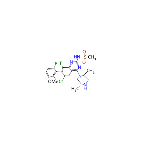 COc1cccc(F)c1-c1c(Cl)cc2c(N3C[C@@H](C)NC[C@@H]3C)nc(NS(C)(=O)=O)nc2c1F